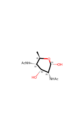 CC(=O)N[C@@H]1[C@H](O)[C@H](NC(C)=O)[C@@H](C)O[C@@H]1O